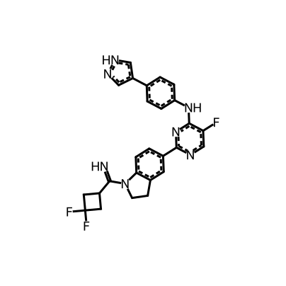 N=C(C1CC(F)(F)C1)N1CCc2cc(-c3ncc(F)c(Nc4ccc(-c5cn[nH]c5)cc4)n3)ccc21